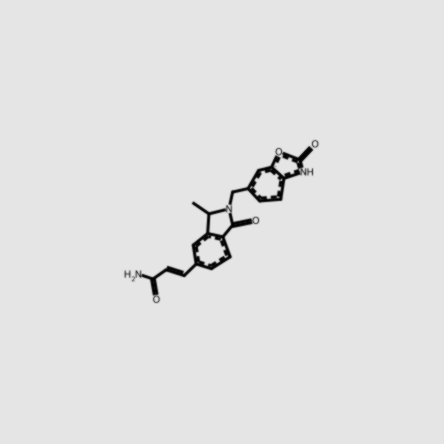 CC1c2cc(C=CC(N)=O)ccc2C(=O)N1Cc1ccc2[nH]c(=O)oc2c1